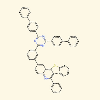 c1ccc(-c2ccc(-c3nc(-c4ccc(-c5ccccc5)cc4)nc(-c4cccc(-c5ccc6nc(-c7ccccc7)c7c8ccccc8sc7c6c5)c4)n3)cc2)cc1